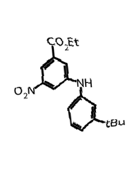 CCOC(=O)c1cc(Nc2cccc(C(C)(C)C)c2)cc([N+](=O)[O-])c1